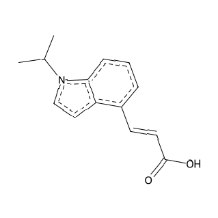 CC(C)n1ccc2c(/C=C/C(=O)O)cccc21